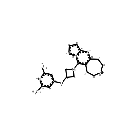 Cc1cc(OC2CN(c3c4c(nc5ccnn35)CCNCC4)C2)cc(C)n1